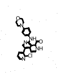 O=CC1NC=Cc2c(-c3cccnc3Cl)cnc(Nc3ccc(N4CCOCC4)cc3)c21